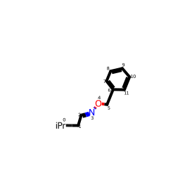 CC(C)CC=NOCc1ccccc1